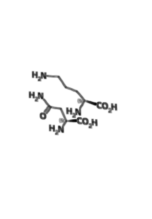 NC(=O)C[C@H](N)C(=O)O.NCCC[C@H](N)C(=O)O